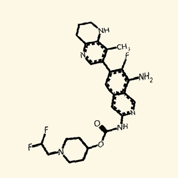 Cc1c(-c2cc3cc(NC(=O)OC4CCN(CC(F)F)CC4)ncc3c(N)c2F)cnc2c1NCCC2